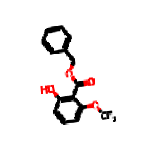 O=C(OCc1ccccc1)c1c(O)cccc1OC(F)(F)F